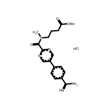 COC(=O)CCCN(C)C(=O)c1ncc(-c2ccc(C(=N)N)cc2)cn1.Cl